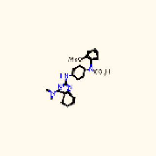 COc1ccccc1N(C(=O)O)[C@H]1CC[C@@H](Nc2nc3c(c(N(C)C)n2)CCCC3)CC1